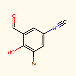 [C-]#[N+]c1cc(Br)c(O)c(C=O)c1